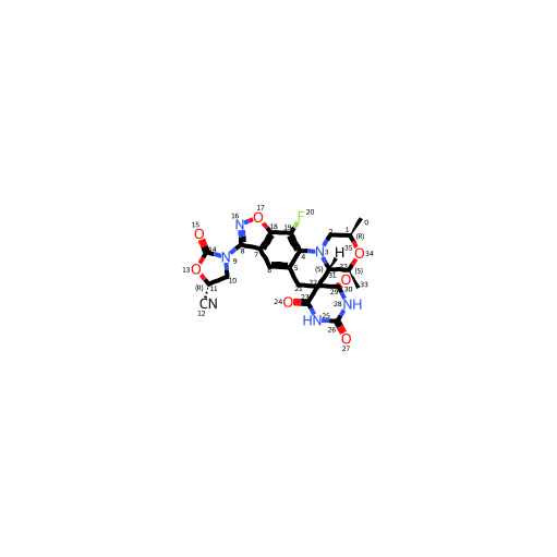 C[C@@H]1CN2c3c(cc4c(N5C[C@H](C#N)OC5=O)noc4c3F)CC3(C(=O)NC(=O)NC3=O)[C@H]2[C@H](C)O1